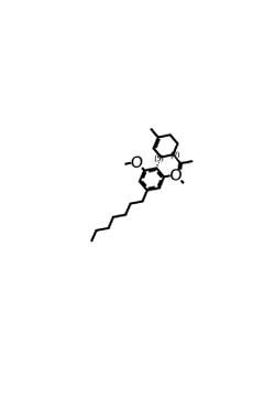 C=C(C)[C@@H]1CCC(C)=C[C@H]1c1c(OC)cc(CCCCCCC)cc1OC